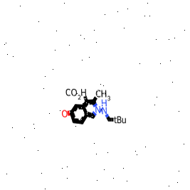 Cc1c(C(=O)O)c2cc(=O)ccc-2cn1NCC(C)(C)C